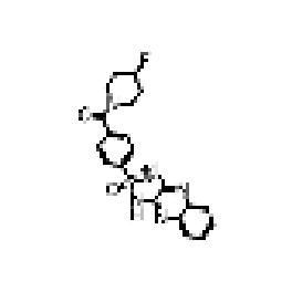 O=C(c1ccc(S(=O)(=O)Nc2nc3ccccc3nc2Cl)cc1)N1CCC(F)CC1